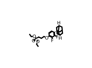 CCOP(=O)(CCCOc1ccc([C@]23CC4C[C@@H](C[C@H](C4)C2)C3)c(F)c1F)OCC